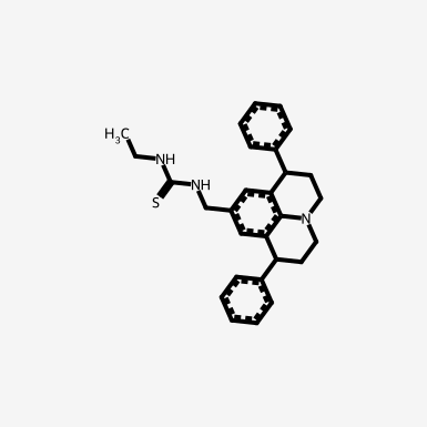 CCNC(=S)NCc1cc2c3c(c1)C(c1ccccc1)CCN3CCC2c1ccccc1